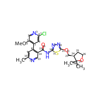 COc1cnc(Cl)cc1-c1cc(C)ncc1C(=O)Nc1nnc(OC[C@H]2CCOC2(C)C)s1